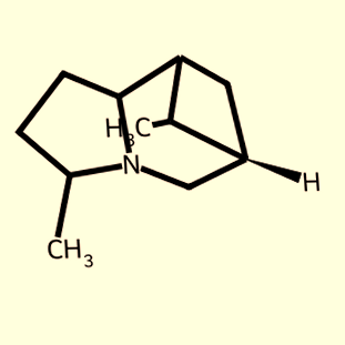 CC1C2C[C@@H]1CN1C(C)CCC21